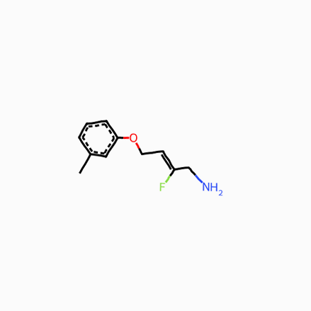 Cc1cccc(OCC=C(F)CN)c1